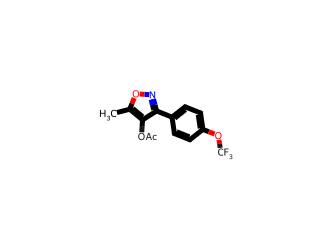 CC(=O)Oc1c(-c2ccc(OC(F)(F)F)cc2)noc1C